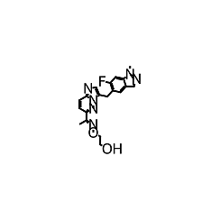 CC(=NOCCO)c1ccc2ncc(Cc3cc4cnn(C)c4cc3F)n2n1